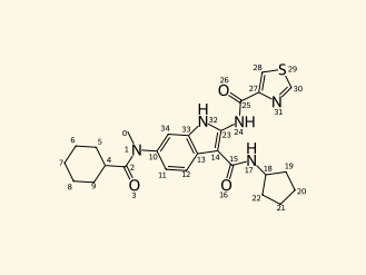 CN(C(=O)C1CCCCC1)c1ccc2c(C(=O)NC3CCCC3)c(NC(=O)c3cscn3)[nH]c2c1